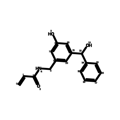 C=CC(=O)NCc1cc(O)cc(C(O)c2ccccc2)c1